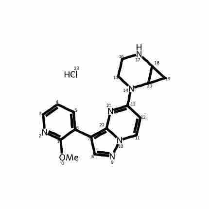 COc1ncccc1-c1cnn2ccc(N3CCNC4CC43)nc12.Cl